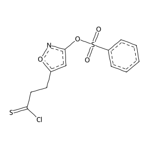 O=S(=O)(Oc1cc(CCC(=S)Cl)on1)c1ccccc1